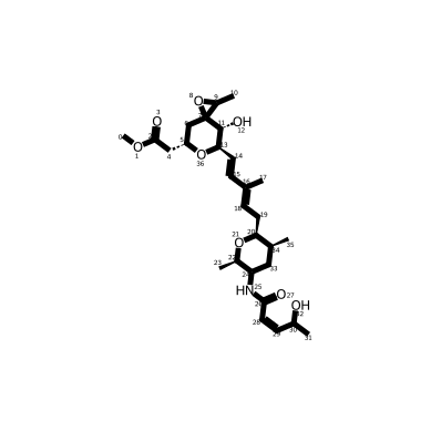 COC(=O)C[C@@H]1CC2(OC2C)[C@H](O)[C@@H](/C=C/C(C)=C/C[C@@H]2O[C@H](C)C(NC(=O)/C=C\C(C)O)C[C@@H]2C)O1